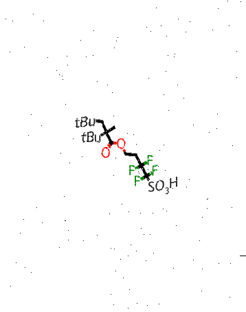 CC(C)(C)CC(C)(C(=O)OCCC(F)(F)C(F)(F)S(=O)(=O)O)C(C)(C)C